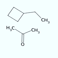 CC(C)=O.CCC1CCC1